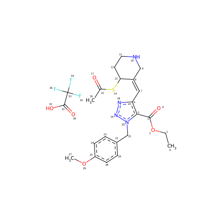 CCOC(=O)c1c(C=C2CNCCC2SC(C)=O)nnn1Cc1ccc(OC)cc1.O=C(O)C(F)(F)F